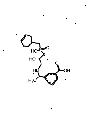 C[C@@H](NC[C@H](O)CP(=O)(O)CC1CC=CCC1)c1cccc(C(=O)O)c1